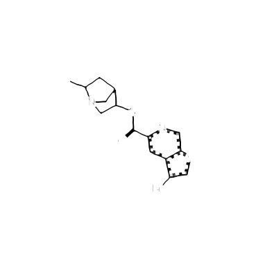 CC1CC2CN1CC2NC(=O)c1cc2c(Br)coc2cn1